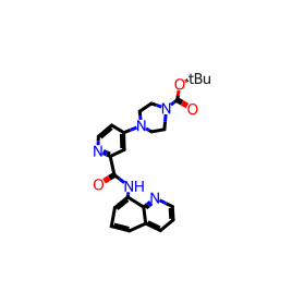 CC(C)(C)OC(=O)N1CCN(c2ccnc(C(=O)Nc3cccc4cccnc34)c2)CC1